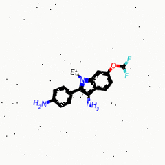 CCn1c(-c2ccc(N)cc2)c(N)c2ccc(OC(F)F)cc21